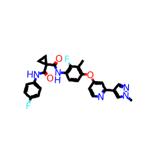 Cc1c(Oc2ccnc(-c3cnn(C)c3)c2)ccc(NC(=O)C2(C(=O)Nc3ccc(F)cc3)CC2)c1F